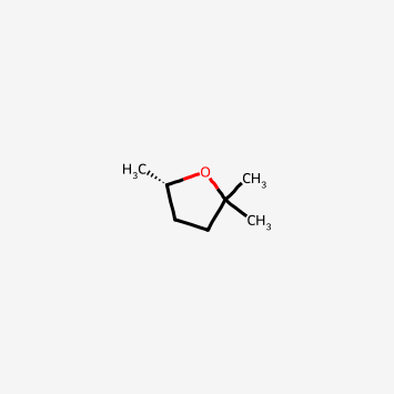 C[C@H]1CCC(C)(C)O1